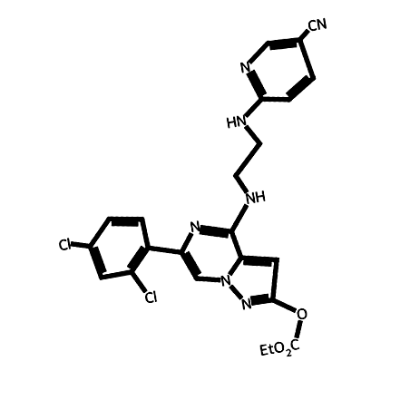 CCOC(=O)Oc1cc2c(NCCNc3ccc(C#N)cn3)nc(-c3ccc(Cl)cc3Cl)cn2n1